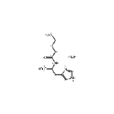 CCCCCCCCCCCCCC(=O)NC(Cc1c[nH]cn1)C(=O)O.[NaH]